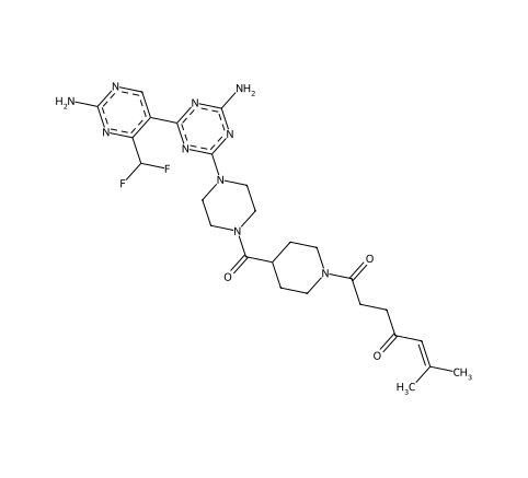 CC(C)=CC(=O)CCC(=O)N1CCC(C(=O)N2CCN(c3nc(N)nc(-c4cnc(N)nc4C(F)F)n3)CC2)CC1